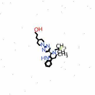 C[C@@H]1Cc2c([nH]c3ccccc23)[C@@H](c2cnc(N3CCC(CCCO)CC3)nc2)N1CC(C)(C)F